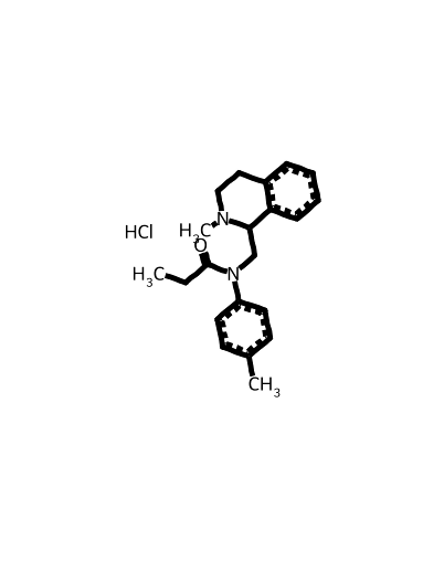 CCC(=O)N(CC1c2ccccc2CCN1C)c1ccc(C)cc1.Cl